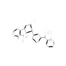 Cc1nccc2c1[nH]c1c(-c3cccc(C(O)c4ccccn4)c3)cc(Cl)cc12